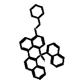 IS1(c2cccc3ccccc23)c2c(ccc3ccccc23)-c2cccc3c(OCC4CCCCC4)ccc1c23